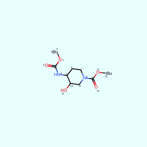 CC(C)(C)OC(=O)NC1CCN(C(=O)OC(C)(C)C)CC1O